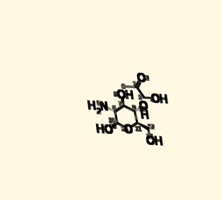 CC(=O)CO.N[C@@H]1[C@@H](O)[C@H](O)[C@@H](CO)O[C@H]1O